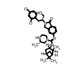 C[C@H]1[C@@H](NC(=Nc2ccc3c(c2)CN([C@H](CO)Cc2ccc(Cl)cc2Cl)C3=O)N2CCN[C@@H](C)C2)C[C@@H]2C[C@@H]1C2(C)C